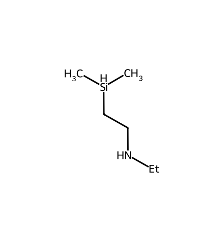 CCNCC[SiH](C)C